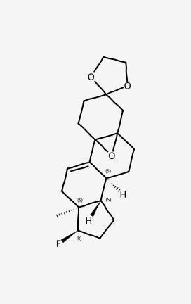 C[C@]12CC=C3[C@@H](CCC45CC6(CCC34O5)OCCO6)[C@@H]1CC[C@H]2F